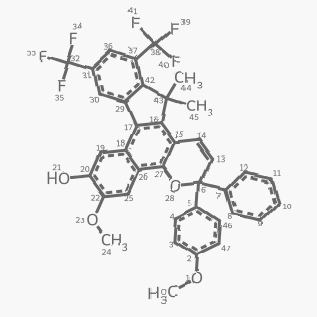 COc1ccc(C2(c3ccccc3)C=Cc3c4c(c5cc(O)c(OC)cc5c3O2)-c2cc(C(F)(F)F)cc(C(F)(F)F)c2C4(C)C)cc1